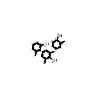 Cc1cccc(C)c1O.Cc1cccc(O)c1.Cc1ccccc1O